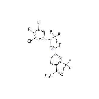 CC(=O)c1ccc(/C(F)=C/C(c2cc(Cl)c(F)c(Cl)c2)C(F)(F)F)cc1C(F)(F)F